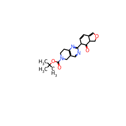 CC(C)(C)OC(=O)N1CCc2nc(C3C=CC4=COCC4C3=O)ncc2C1